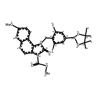 COc1ccc2c(ncc3c2n(Cc2c(F)cc(B4OC(C)(C)C(C)(C)O4)cc2F)c(=O)n3C(=O)OC(C)(C)C)n1